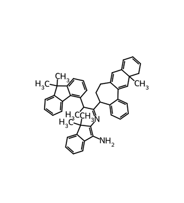 CC(/C(=N\C1=C(N)c2ccccc2C1(C)C)C1CCC2=CC3=CC=CCC3(C)C=C2c2ccccc21)c1cccc2c1-c1ccccc1C2(C)C